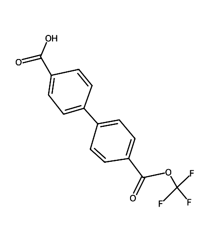 O=C(O)c1ccc(-c2ccc(C(=O)OC(F)(F)F)cc2)cc1